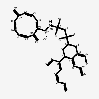 C=C/C=C\C=C(/C=C)C1CC(C(C)(C)CC(C)(C)N[C@H](C)c2cccc(=C)ccccc2=C)CC(=C/C)/C1=C\C=C